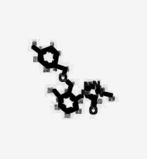 Cc1ccc(COCc2c(C)cccc2-n2nnn(C)c2=O)cc1